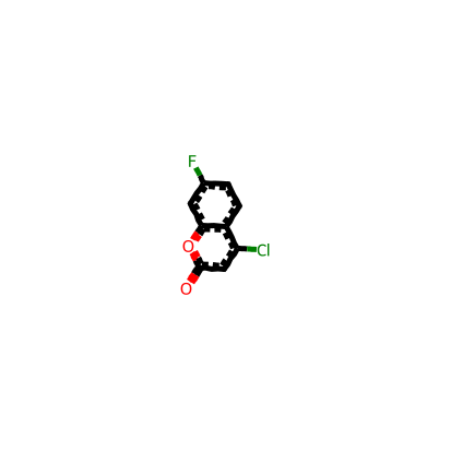 O=c1cc(Cl)c2ccc(F)cc2o1